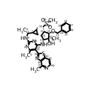 Cc1nc(N[C@H](C)C2CC2)nc(N[C@@H]2C[C@H](CS(C)(=O)=O)[C@@H](OCc3ccccc3)[C@@]2(C)O)c1-c1nc2c(C)nccc2s1